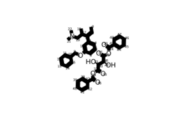 CC=C(c1cccc(OCc2ccccc2)c1)C(C)CN(C)C.O=C(OC(=O)[C@H](O)[C@@H](O)C(=O)OC(=O)c1ccccc1)c1ccccc1